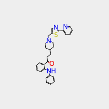 O=C(CCC1CCN(Cc2cnc(-c3ccccn3)s2)CC1)c1ccccc1Nc1ccccc1